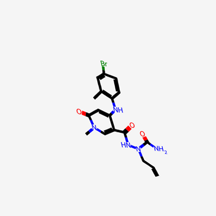 C=CCN(NC(=O)c1cn(C)c(=O)cc1Nc1ccc(Br)cc1C)C(N)=O